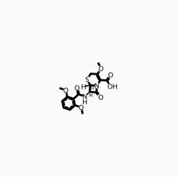 COC1=C(C(=O)O)N2C(=O)[C@@H](NC(=O)c3c(OC)cccc3OC)[C@@H]2SC1